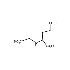 CCOC(=O)CNC(CCC(=O)O)C(=O)OCC